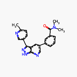 Cc1ccc(-c2n[nH]c3ncc(-c4cccc(C(=O)N(C)C)c4)cc23)cn1